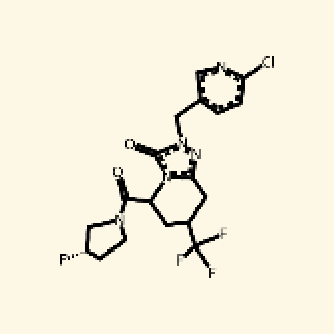 O=C(C1CC(C(F)(F)F)Cc2nn(Cc3ccc(Cl)nc3)c(=O)n21)N1CC[C@H](F)C1